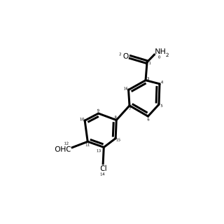 NC(=O)c1cccc(-c2ccc(C=O)c(Cl)c2)c1